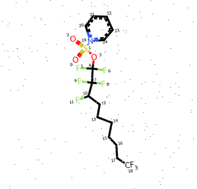 O=S(=O)(OC(F)(F)C(F)(F)C(F)CCCCCCC(F)(F)F)[n+]1ccccc1